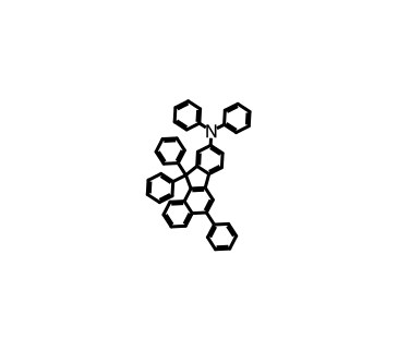 c1ccc(-c2cc3c(c4ccccc24)C(c2ccccc2)(c2ccccc2)c2cc(N(c4ccccc4)c4ccccc4)ccc2-3)cc1